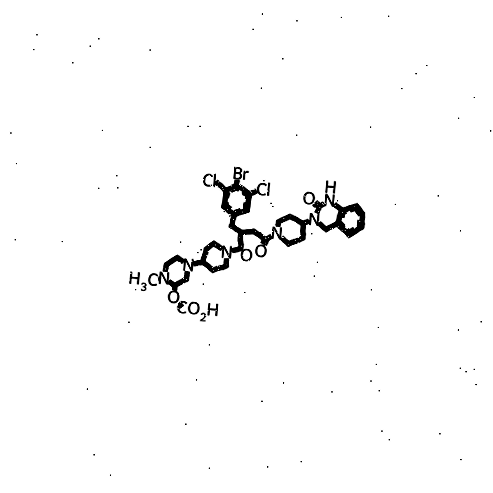 CN1CCN(C2CCN(C(=O)C(CC(=O)N3CCC(N4Cc5ccccc5NC4=O)CC3)Cc3cc(Cl)c(Br)c(Cl)c3)CC2)CC1OC(=O)O